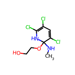 CNC1(OCCO)NC(Cl)=C(Cl)C=C1Cl